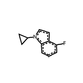 Fc1c[c]cc2c1ccn2C1CC1